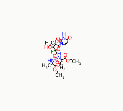 CCOC(=O)C(C)NP(=O)(NC(C)C(=O)OCC)OC[C@@]1(F)O[C@H](n2ccc(=O)[nH]c2=O)C(C)(O)[C@@H]1O